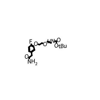 CC(C)(C)OC(=O)NCCOCCOc1cc(CC(N)=O)ccc1F